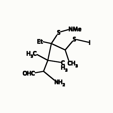 CCC(SNC)(C(C)SI)C(C)(C)C(N)C=O